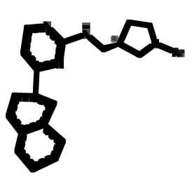 CC(=O)N1CC[C@H](CNc2nccc(-c3ccc4ccccc4c3)n2)C1